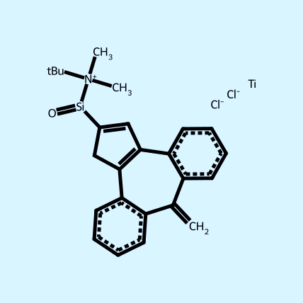 C=C1c2ccccc2C2=C(CC([Si](=O)[N+](C)(C)C(C)(C)C)=C2)c2ccccc21.[Cl-].[Cl-].[Ti]